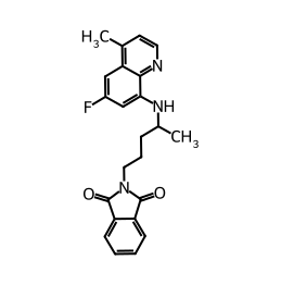 Cc1ccnc2c(NC(C)CCCN3C(=O)c4ccccc4C3=O)cc(F)cc12